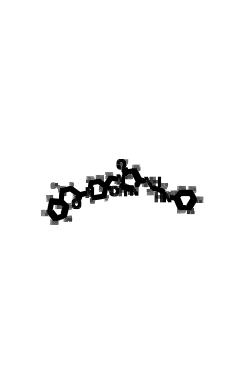 C[C@H](CC(=O)N1CCC(O)(Cn2cnc(NCCNc3ccccc3)cc2=O)CC1)c1ccccc1